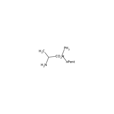 CC(N)C(=O)O.CCCCCCP